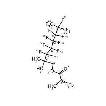 C=C(C)C(=O)OCC(C)(O)C(F)(F)C(F)(F)C(F)(F)C(F)(F)C(F)(C(F)(F)F)C(F)(F)F